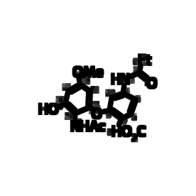 CCC(=O)Nc1ccc(C(=O)O)c(Oc2cc(OC)cc(O)c2NC(C)=O)c1